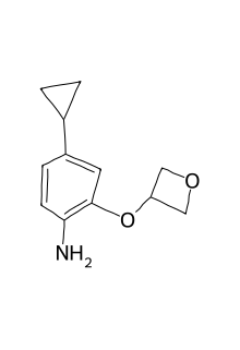 Nc1ccc(C2CC2)cc1OC1COC1